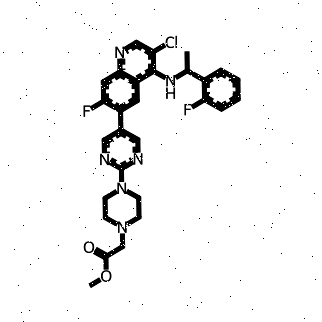 COC(=O)CN1CCN(c2ncc(-c3cc4c(NC(C)c5ccccc5F)c(Cl)cnc4cc3F)cn2)CC1